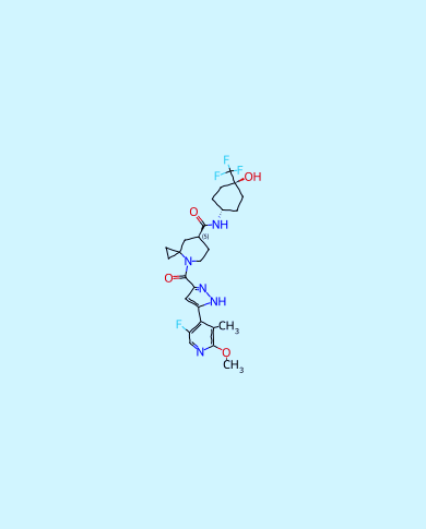 COc1ncc(F)c(-c2cc(C(=O)N3CC[C@H](C(=O)N[C@H]4CC[C@@](O)(C(F)(F)F)CC4)CC34CC4)n[nH]2)c1C